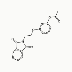 CC(=O)Oc1cccc(OCCN2C(=O)c3ccccc3C2=O)c1